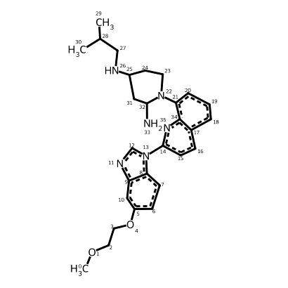 COCCOc1ccc2c(c1)ncn2-c1ccc2cccc(N3CCC(NCC(C)C)CC3N)c2n1